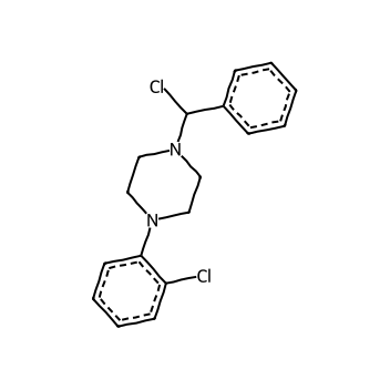 Clc1ccccc1N1CCN(C(Cl)c2ccccc2)CC1